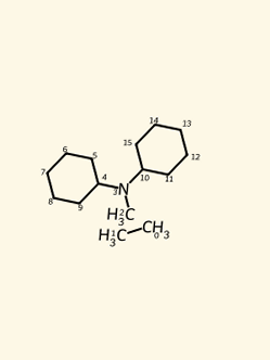 CC.CN(C1CCCCC1)C1CCCCC1